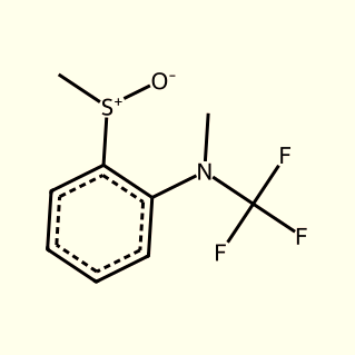 CN(c1ccccc1[S+](C)[O-])C(F)(F)F